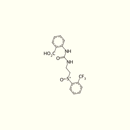 O=C(NCC[S+]([O-])c1ccccc1C(F)(F)F)Nc1ccccc1C(=O)O